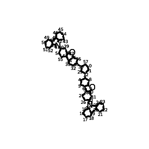 c1cc(-c2ccc3c(c2)oc2cc(-n4c5ccccc5c5ccccc54)ccc23)cc(-c2ccc3c(c2)oc2cc(-n4c5ccccc5c5ccccc54)ccc23)c1